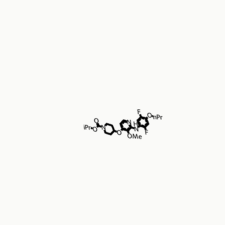 CCCOc1cc(F)c(Nc2nccc(OC3CCN(C(=O)OC(C)C)CC3)c2OC)cc1F